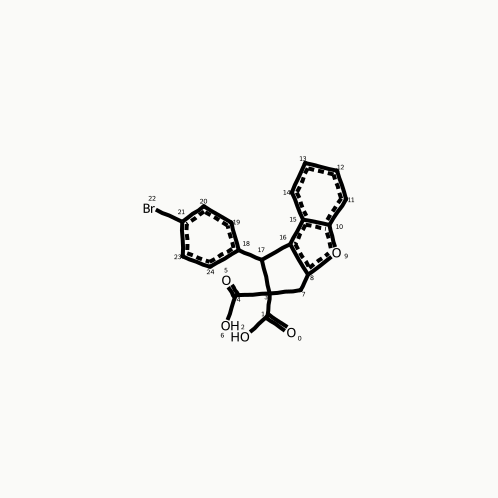 O=C(O)C1(C(=O)O)Cc2oc3ccccc3c2C1c1ccc(Br)cc1